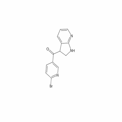 O=C(c1ccc(Br)nc1)C1CNc2ncccc21